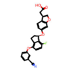 N#Cc1cccc(Oc2ccc(F)c3c2CC[C@H]3Oc2ccc3c(c2)OCC3CC(=O)O)c1